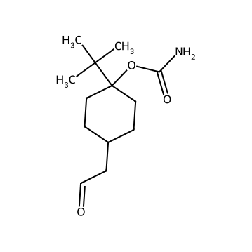 CC(C)(C)C1(OC(N)=O)CCC(CC=O)CC1